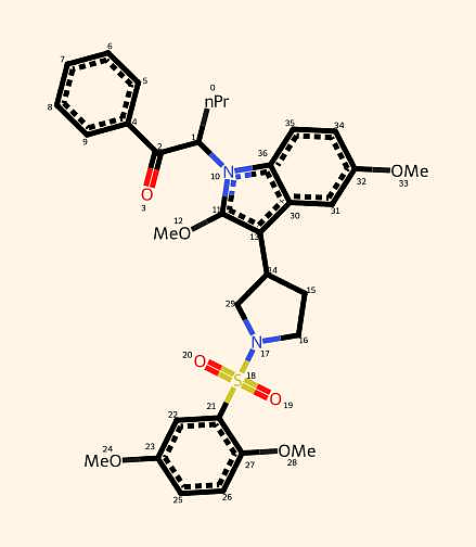 CCCC(C(=O)c1ccccc1)n1c(OC)c(C2CCN(S(=O)(=O)c3cc(OC)ccc3OC)C2)c2cc(OC)ccc21